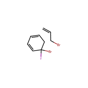 BrC1(I)C=CC=CC1.C=CCBr